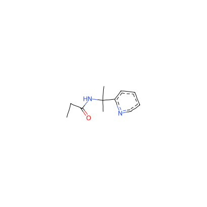 CCC(=O)NC(C)(C)c1ccccn1